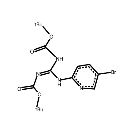 CC(C)(C)OC(=O)N=C(NC(=O)OC(C)(C)C)Nc1ccc(Br)cn1